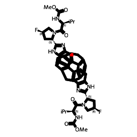 COC(=O)N[C@H](C(=O)N1C[C@H](F)C[C@H]1c1nc2cc(-c3cc4ccc3CCc3ccc(c(-c5ccc6[nH]c([C@@H]7C[C@@H](F)CN7C(=O)[C@@H](NC(=O)OC)C(C)C)nc6c5)c3)CC4)ccc2[nH]1)C(C)C